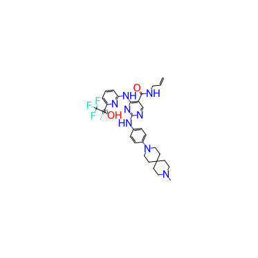 C=CCNC(=O)c1cnc(Nc2ccc(N3CCC4(CCN(C)CC4)CC3)cc2)nc1Nc1cccc([C@@](C)(O)C(F)(F)F)n1